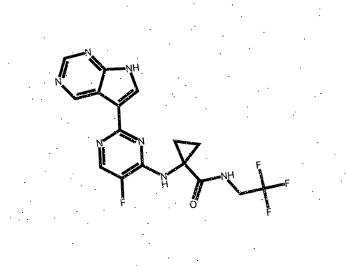 O=C(NCC(F)(F)F)C1(Nc2nc(-c3c[nH]c4ncncc34)ncc2F)CC1